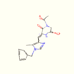 CC(=O)N1CC(=O)N/C(=C\c2ncn(Cc3ccccc3)c2C)C1=O